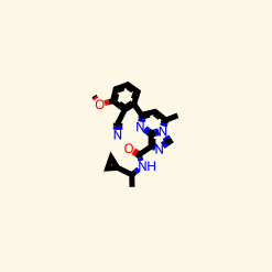 COc1cccc(-c2cc(C)n3cnc(C(=O)NC(C)C4CC4)c3n2)c1C#N